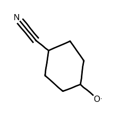 N#CC1CCC([O])CC1